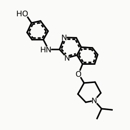 CC(C)N1CCC(Oc2cccc3cnc(Nc4ccc(O)cc4)nc23)CC1